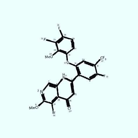 COc1ncc2[nH]c(-c3cc(F)c(C(F)(F)F)cc3Oc3ccc(F)c(F)c3OC)cc(=O)c2c1Br